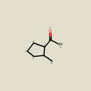 CC(C)C(=O)C1CCCC1C